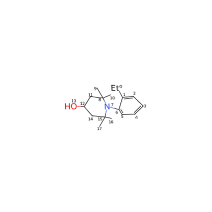 CCc1ccccc1N1C(C)(C)CC(O)CC1(C)C